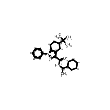 C[C@@H](NC(=O)c1nn(-c2ccccc2)c2c1CC(C(C)(C)C)CC2)C1CCCCC1